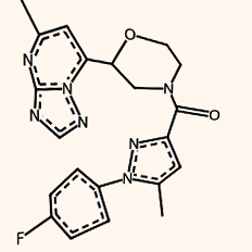 Cc1cc(C2CN(C(=O)c3cc(C)n(-c4ccc(F)cc4)n3)CCO2)n2ncnc2n1